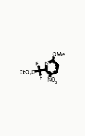 CCOC(=O)C(F)(F)c1nc(OC)ccc1[N+](=O)[O-]